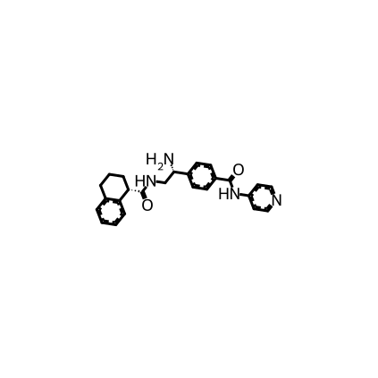 N[C@@H](CNC(=O)[C@H]1CCCc2ccccc21)c1ccc(C(=O)Nc2ccncc2)cc1